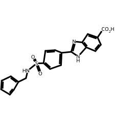 O=C(O)c1ccc2[nH]c(-c3ccc(S(=O)(=O)NCc4ccccc4)cc3)nc2c1